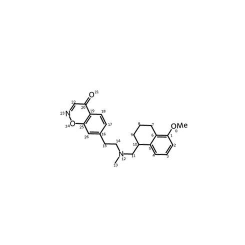 COc1cccc2c1CCCC2CN(C)CCc1ccc2c(=O)cnoc2c1